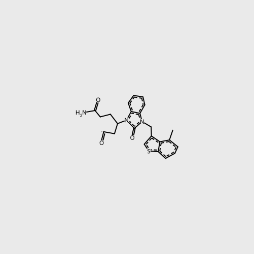 Cc1cccc2scc(Cn3c(=O)n(C(C[C]=O)CCC(N)=O)c4ccccc43)c12